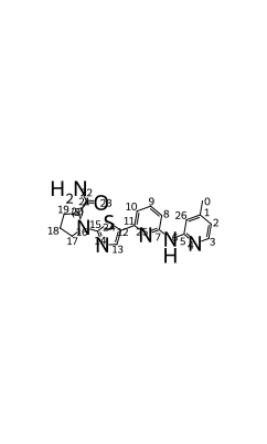 Cc1ccnc(Nc2cccc(-c3cnc(N4CCC[C@H]4C(N)=O)s3)n2)c1